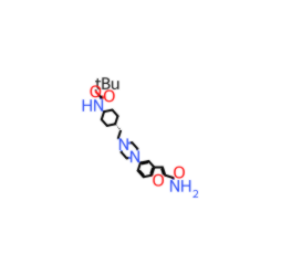 CC(C)(C)OC(=O)N[C@H]1CC[C@H](CCN2CCN(c3ccc4oc(C(N)=O)cc4c3)CC2)CC1